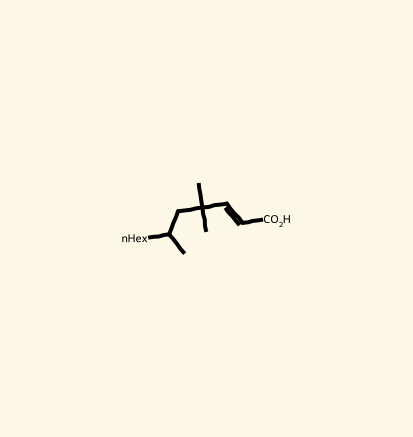 CCCCCCC(C)CC(C)(C)/C=C/C(=O)O